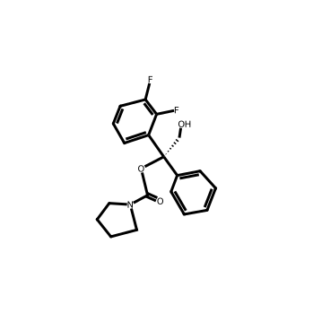 O=C(O[C@](CO)(c1ccccc1)c1cccc(F)c1F)N1CCCC1